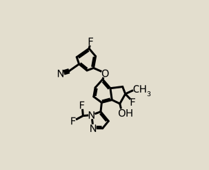 CC1(F)Cc2c(Oc3cc(F)cc(C#N)c3)ccc(-c3ccnn3C(F)F)c2C1O